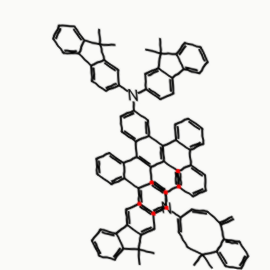 C=C1/C=C\C(N(c2ccc3c(c2)C(C)(C)c2ccccc2-3)c2ccc3c(-c4ccccc4-c4ccccc4)c4cc(N(c5ccc6c(c5)C(C)(C)c5ccccc5-6)c5ccc6c(c5)C(C)(C)c5ccccc5-6)ccc4c(-c4ccccc4-c4ccccc4)c3c2)=C/CC(C)(C)c2ccccc21